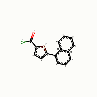 O=C(Cl)c1ccc(-c2cccc3ccccc23)s1